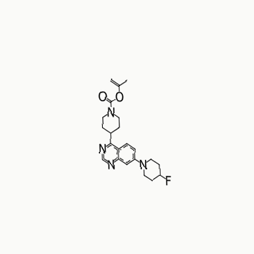 C=C(C)OC(=O)N1CCC(c2ncnc3cc(N4CCC(F)CC4)ccc23)CC1